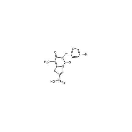 Cc1c(=O)n(Cc2ccc(Br)cc2)c(=O)n2cc(C(=O)O)sc12